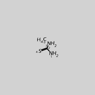 C.NC(N)=S